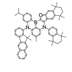 Cc1cc2c3c(c1)N(c1ccc4c(c1)C(C)(C)CCC4(C)C)c1c(oc4cc5c(cc14)C(C)(C)CCC5(C)C)B3c1ccc(C(C)C)cc1N2c1cccc2c1C(C)(C)c1cc3ccccc3cc1-2